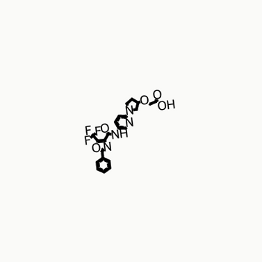 O=C(O)COC1CCN(c2ccc(NC(=O)c3nc(-c4ccccc4)oc3C(F)(F)F)cn2)C1